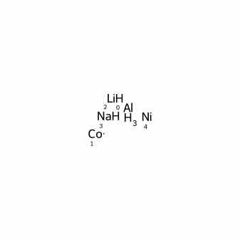 [AlH3].[Co].[LiH].[NaH].[Ni]